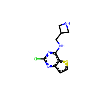 Clc1nc(NCC2CNC2)c2sccc2n1